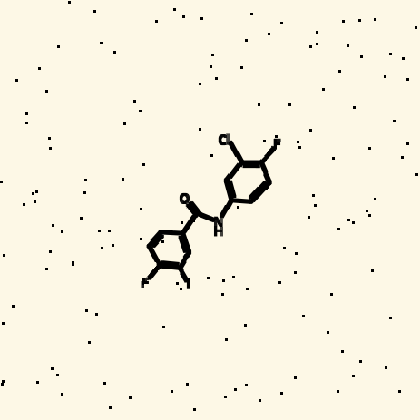 O=C(Nc1ccc(F)c(Cl)c1)c1ccc(F)c(I)c1